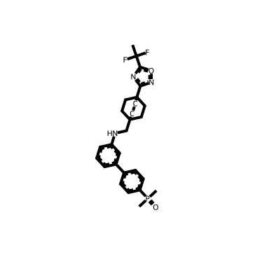 CC(F)(F)c1nc(C23CCC(CNc4cccc(-c5ccc(P(C)(C)=O)cc5)c4)(CC2)CC3)no1